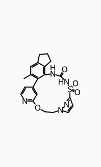 Cc1cc2c(c3c1-c1ccnc(c1)OCCn1ccc(n1)S(=O)(=O)NC(=O)N3)CCC2